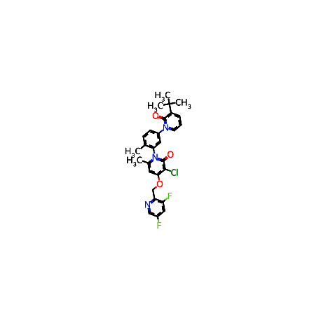 Cc1ccc(-n2cccc(C(C)(C)C)c2=O)cc1-n1c(C)cc(OCc2ncc(F)cc2F)c(Cl)c1=O